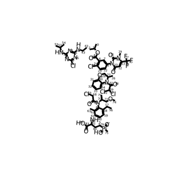 CC(C)OC(=O)c1cc(-n2c(=O)cc(C(F)(F)F)n(C)c2=O)ccc1Cl.CC1COc2ccccc2N1C(=O)C(Cl)Cl.CCNc1nc(Cl)nc(NC(C)C)n1.CCc1cccc(C)c1N(C(=O)CCl)C(C)COC.CP(=O)(O)CCC(N)C(=O)O